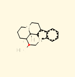 CC[C@@]12CCCN3CCc4c(n(c5ccccc45)CC1)[C@@H]32